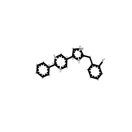 Fc1ccccc1Cc1nc(-c2cnc(-c3ccccc3)nc2)c[nH]1